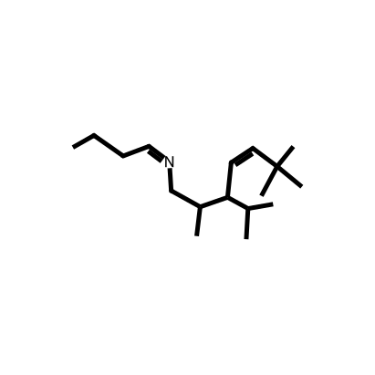 CCC/C=N\CC(C)C(/C=C\C(C)(C)C)C(C)C